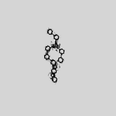 c1ccc(-c2cccc(-c3nc(-c4cccc(-c5ccccc5)c4)nc(-c4cccc(-c5cccc(-c6ccc7oc8cc9c(cc8c7c6)oc6ccccc69)c5)c4)n3)c2)cc1